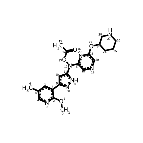 COc1ncc(C)cc1-c1cc(N(OC(C)=O)c2cncc(OC3CCCNC3)n2)[nH]n1